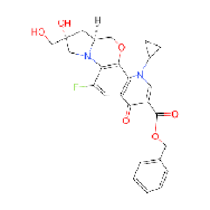 O=C(OCc1ccccc1)c1cn(C2CC2)c2c3c(c(F)cc2c1=O)N1C[C@@](O)(CO)C[C@H]1CO3